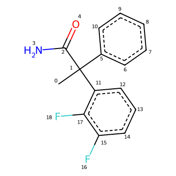 CC(C(N)=O)(c1ccccc1)c1cccc(F)c1F